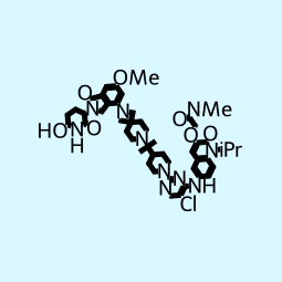 CNC(=O)COc1cc2cc(Nc3nc(N4CCC(C(C)(C)N5CCC6(CC5)CN(c5cc(OC)cc7c5CN(C5CCC(O)NC5=O)C7=O)C6)CC4)ncc3Cl)ccc2n(C(C)C)c1=O